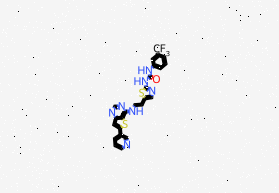 O=C(Nc1cccc(C(F)(F)F)c1)Nc1ncc(CCNc2ncnc3cc(-c4cccnc4)sc23)s1